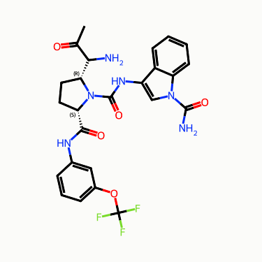 CC(=O)C(N)[C@H]1CC[C@@H](C(=O)Nc2cccc(OC(F)(F)F)c2)N1C(=O)Nc1cn(C(N)=O)c2ccccc12